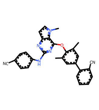 Cc1cc(-c2ccccc2C#N)cc(C)c1Oc1nc(Nc2ccc(C#N)cc2)nc2ccn(C)c12